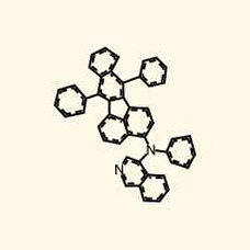 c1ccc(-c2c3c(c(-c4ccccc4)c4ccccc24)-c2ccc(N(c4ccccc4)c4cncc5ccccc45)c4cccc-3c24)cc1